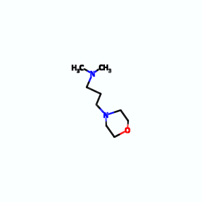 CN(C)CCCN1CCOCC1